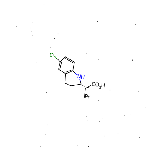 CC(C)C(C(=O)O)[C@@H]1CCc2cc(Cl)ccc2N1